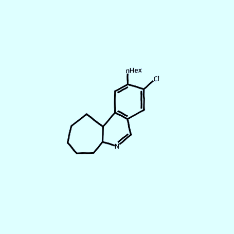 CCCCCCc1cc2c(cc1Cl)C=NC1CCCCCC21